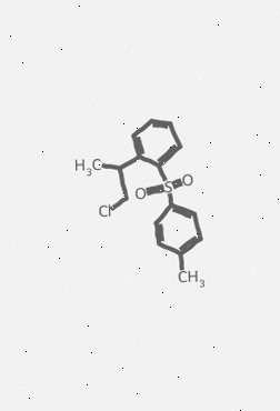 Cc1ccc(S(=O)(=O)c2ccccc2C(C)CCl)cc1